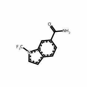 NC(=O)c1ccc2ccn(C(F)(F)F)c2c1